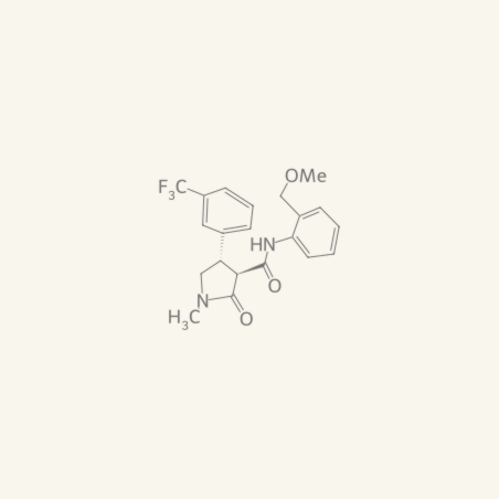 COCc1ccccc1NC(=O)[C@H]1C(=O)N(C)C[C@@H]1c1cccc(C(F)(F)F)c1